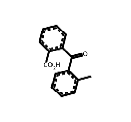 Cc1ccccc1C(=O)c1ccccc1C(=O)O